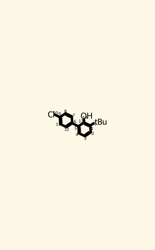 CC(C)(C)c1cccc(-c2ccc(Cl)cc2)c1O